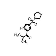 CN(C)C(=O)c1cc(S(=O)(=O)N2CCCC2)c[nH]1